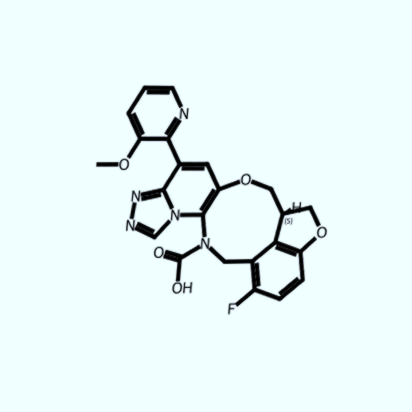 COc1cccnc1-c1cc2c(n3cnnc13)N(C(=O)O)Cc1c(F)ccc3c1[C@@H](CO3)CO2